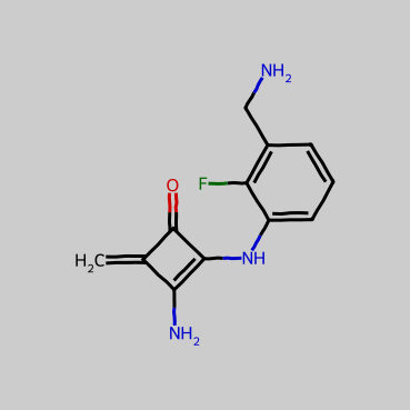 C=C1C(=O)C(Nc2cccc(CN)c2F)=C1N